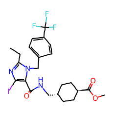 CCc1nc(I)c(C(=O)NC[C@H]2CC[C@H](C(=O)OC)CC2)n1Cc1ccc(C(F)(F)F)cc1